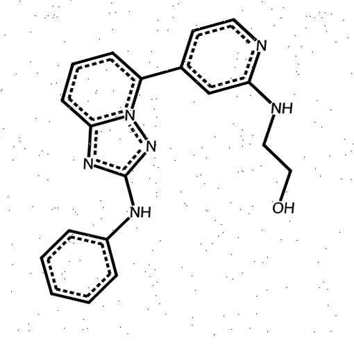 OCCNc1cc(-c2cccc3nc(Nc4ccccc4)nn23)ccn1